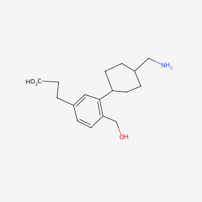 NCC1CCC(c2cc(CCC(=O)O)ccc2CO)CC1